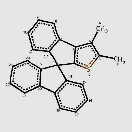 Cc1sc2c(c1C)-c1ccccc1C21c2ccccc2-c2ccccc21